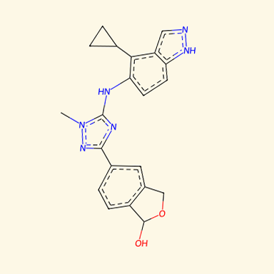 Cn1nc(-c2ccc3c(c2)COC3O)nc1Nc1ccc2[nH]ncc2c1C1CC1